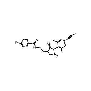 CC#Cc1cc(C)c(C2C(=O)CC(CCNC(=O)c3ccc(F)cc3)C2=O)c(C)c1